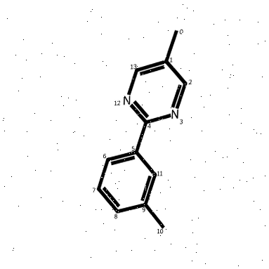 Cc1cnc(-c2cccc(C)c2)nc1